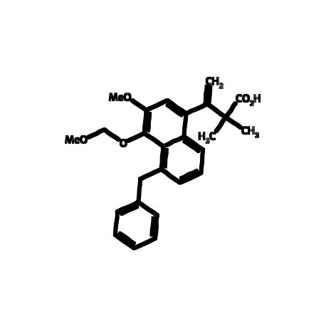 C=C(c1cc(OC)c(OCOC)c2c(Cc3ccccc3)cccc12)C(C)(C)C(=O)O